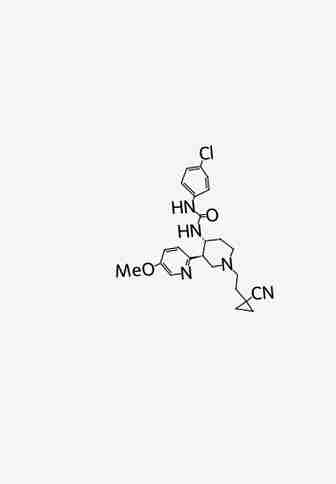 COc1ccc([C@@H]2CN(CCC3(C#N)CC3)CC[C@H]2NC(=O)Nc2ccc(Cl)cc2)nc1